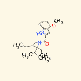 CCC1CN(C(=O)c2cc3c(OC)cccc3[nH]2)C1(CC)C(C)C